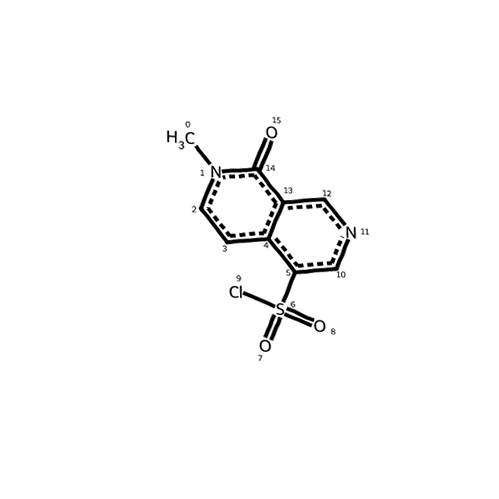 Cn1ccc2c(S(=O)(=O)Cl)cncc2c1=O